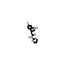 O=C(Cc1c[nH]c2cc(F)ccc12)Nc1ncccn1